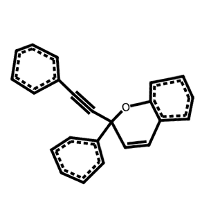 C(#CC1(c2ccccc2)C=Cc2ccccc2O1)c1ccccc1